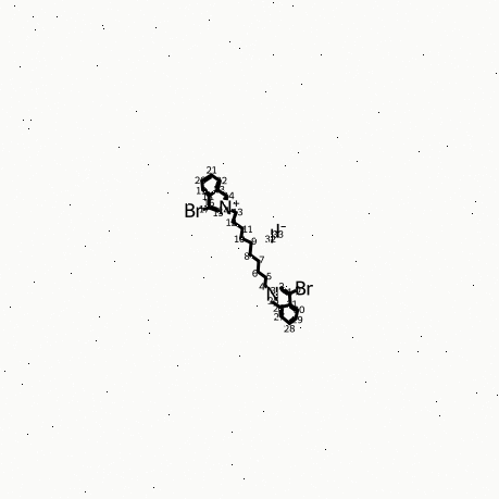 Brc1c[n+](CCCCCCCCCC[n+]2cc(Br)c3ccccc3c2)cc2ccccc12.[I-].[I-]